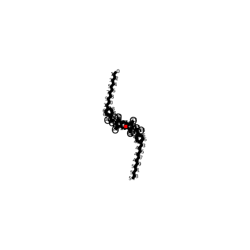 CCCCCCCCCCCCc1ccc(S(=O)(=O)ON2C(=O)C3C4C=CC(C3C2=O)C2C(=O)N(OS(=O)(=O)c3ccc(CCCCCCCCCCCC)cc3)C(=O)C42)cc1